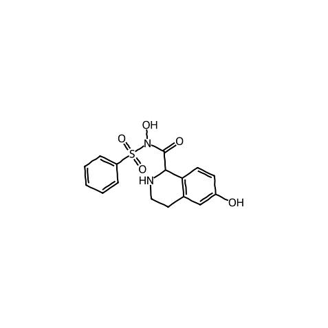 O=C(C1NCCc2cc(O)ccc21)N(O)S(=O)(=O)c1ccccc1